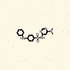 CN(C)c1cc(NS(=O)(=O)c2ccc(Nc3ccccc3)cc2)ncn1